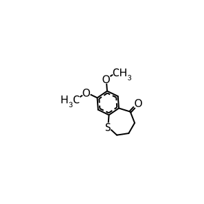 COc1cc2c(cc1OC)C(=O)CCCS2